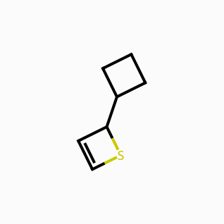 C1=CC(C2CCC2)S1